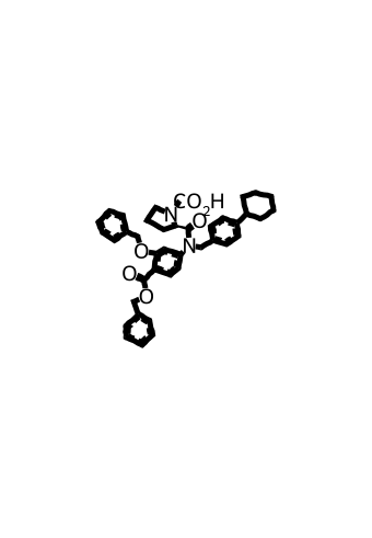 O=C(OCc1ccccc1)c1ccc(N(Cc2ccc(C3CCCCC3)cc2)C(=O)[C@H]2CCCN2C(=O)O)cc1OCc1ccccc1